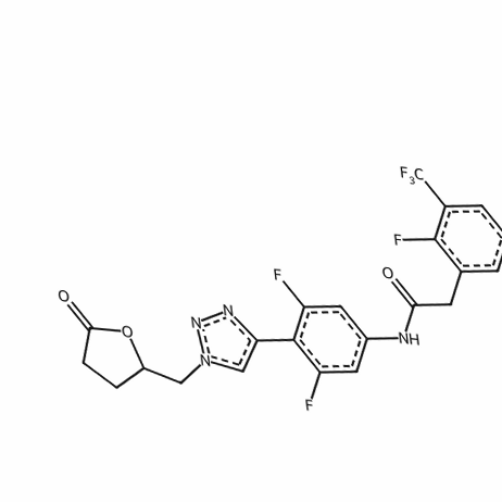 O=C(Cc1cccc(C(F)(F)F)c1F)Nc1cc(F)c(-c2cn(CC3CCC(=O)O3)nn2)c(F)c1